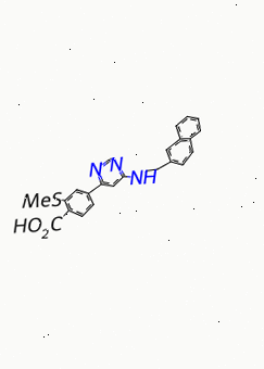 CSc1cc(-c2cc(NCCc3ccc4ccccc4c3)ncn2)ccc1C(=O)O